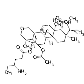 CC(=O)O[C@@H]1C[C@]23COC[C@@](C)([C@@H]2CC[C@H]2C3=CC[C@@]3(C)[C@H](C(=O)O)[C@@](C)([C@H](C)C(C)C)CC[C@]23C)[C@H]1OC(=O)CCC(N)CO